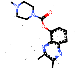 Cc1nc2cccc(OC(=O)N3CCN(C)CC3)c2nc1C